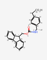 C[C@H](NC(=O)OCC1c2ccccc2-c2ccccc21)c1ccc(CC(=O)O)cc1